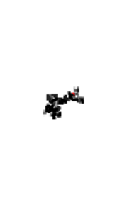 CC(C)[C@@H](CC(O)CN(C)C)N1CC2(CCN(c3ncnnc3Oc3ccc(F)cc3C(=O)N(C(C)C)C(C)C)C2)C1